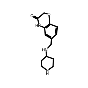 O=C1COc2ccc(CNC3CCNCC3)cc2N1